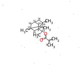 C=C(C)C(=O)OC(C)(C)C12CC3CC(C)(CC(C)(C3)C1)C2